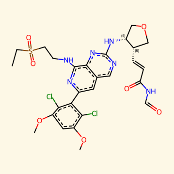 CCS(=O)(=O)CCNc1nc(-c2c(Cl)c(OC)cc(OC)c2Cl)cc2cnc(N[C@@H]3COC[C@@H]3C=CC(=O)NC=O)nc12